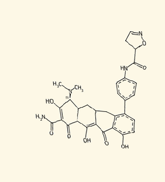 CN(C)[C@@H]1C(O)=C(C(N)=O)C(=O)C2C(O)=C3C(=O)c4c(O)ccc(-c5ccc(NC(=O)C6CC=NO6)cc5)c4CC3CC21